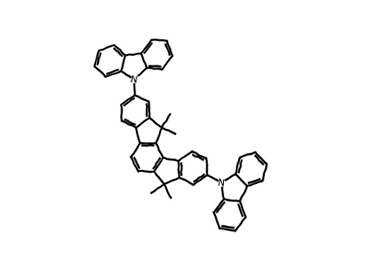 CC1(C)c2cc(-n3c4ccccc4c4ccccc43)ccc2-c2c1ccc1c2C(C)(C)c2cc(-n3c4ccccc4c4ccccc43)ccc2-1